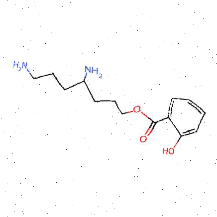 NCCCC(N)CCCOC(=O)c1ccccc1O